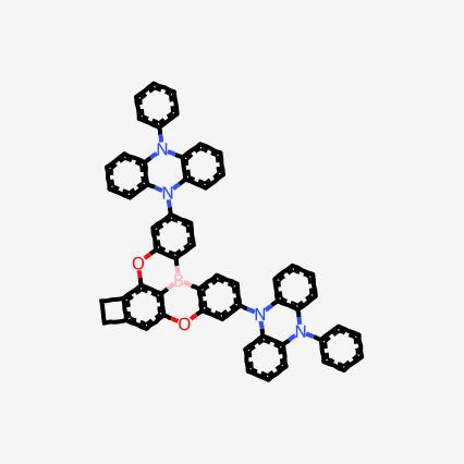 c1ccc(N2c3ccccc3N(c3ccc4c(c3)Oc3cc5c(c6c3B4c3ccc(N4c7ccccc7N(c7ccccc7)c7ccccc74)cc3O6)CC5)c3ccccc32)cc1